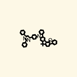 CC1(C)c2cc3c(cc2-c2c1ccc1c2oc2ccccc21)c1ccccc1n3-c1ccc(-c2cc(-c3ccccc3)nc(-c3ccccc3)n2)cc1